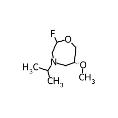 CO[C@H]1COC(F)CN(C(C)C)C1